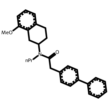 CCCN(C(=O)Cc1ccc(-c2ccccc2)cc1)C1CCc2cccc(OC)c2C1